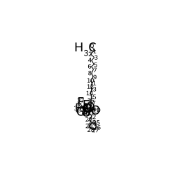 CCCCCCCCCCCCCCCCCCOC(=O)[C@@H](CCc1ccccc1)OS(=O)(=O)C(F)(F)F